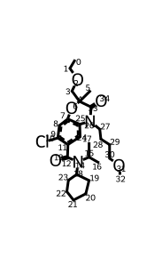 CCOCC1(C)Oc2cc(Cl)c(C(=O)N(C(C)C)C3CCCCC3)cc2N(CCCCOC)C1=O